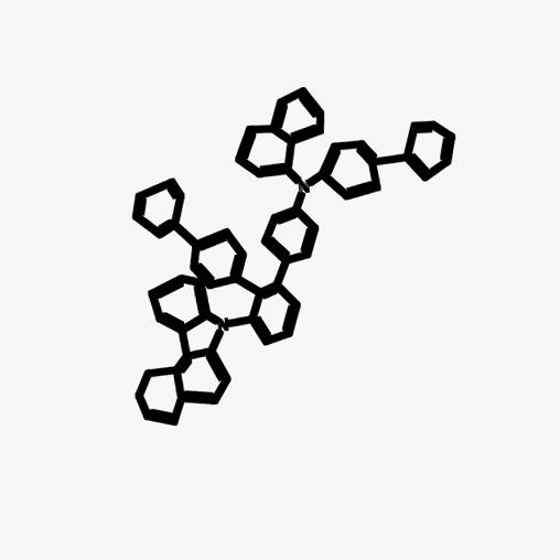 C1=Cc2ccc3c(c2CC1)c1ccccc1n3-c1cccc(-c2ccc(N(c3ccc(-c4ccccc4)cc3)c3cccc4ccccc34)cc2)c1-c1ccc(-c2ccccc2)cc1